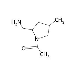 CC(=O)N1CC(C)CC1CN